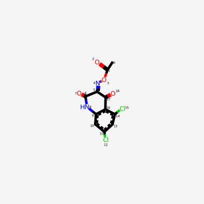 CC(=O)ON=C1C(=O)Nc2cc(Cl)cc(Cl)c2C1=O